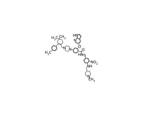 Cc1ccc(C2=C(CN3CCN(c4ccc(C(=O)NSc5ccc(NCC6CCN(C)CC6)c([N+](=O)[O-])c5)c(Oc5cnc6[nH]ccc6c5)c4)CC3)CCC(C)(C)C2)cc1